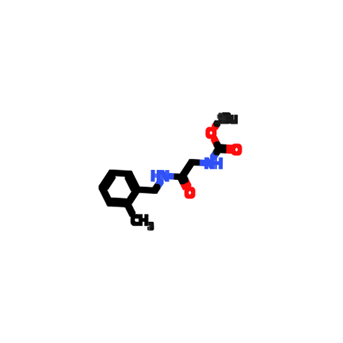 Cc1ccccc1CNC(=O)CNC(=O)OC(C)(C)C